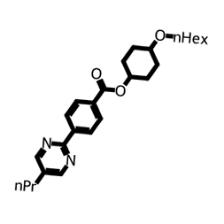 CCCCCCOC1CCC(OC(=O)c2ccc(-c3ncc(CCC)cn3)cc2)CC1